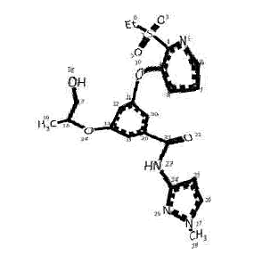 CCS(=O)(=O)c1ncccc1Oc1cc(OC(C)CO)cc(C(=O)Nc2ccn(C)n2)c1